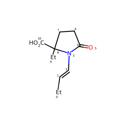 CCC=CN1C(=O)CCC1(CC)C(=O)O